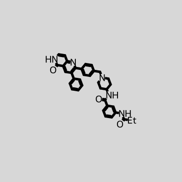 CCC(=O)Nc1cccc(C(=O)NC2CCN(Cc3ccc(-c4nc5cc[nH]c(=O)c5cc4-c4ccccc4)cc3)CC2)c1